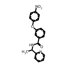 CC(NC(=O)c1cccc(Oc2ccc([N+](=O)[O-])cc2)c1)c1ccccn1